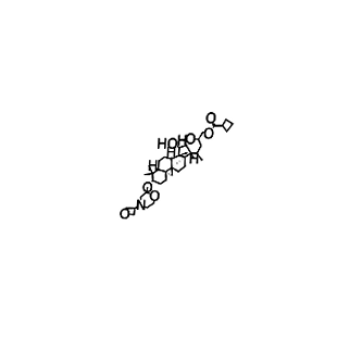 C[C@@H]1C[C@H](COC(=O)C2CCC2)O[C@H]2[C@H]1[C@@]1(C)CC[C@@]34C[C@@]35CC[C@H](OC3CN(C6COC6)CCO3)C(C)(C)[C@@H]5CC[C@H]4[C@]1(C)[C@H]2O